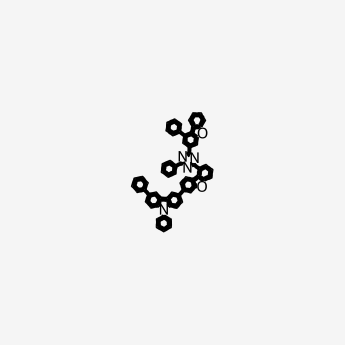 c1ccc(-c2ccc3c(c2)c2cc(-c4ccc5c(c4)oc4cccc(-c6nc(-c7ccccc7)nc(-c7cc(-c8ccccc8)c8c(c7)oc7ccccc78)n6)c45)ccc2n3-c2ccccc2)cc1